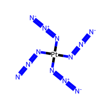 [N-]=[N+]=[N][Pt]([N]=[N+]=[N-])([N]=[N+]=[N-])[N]=[N+]=[N-]